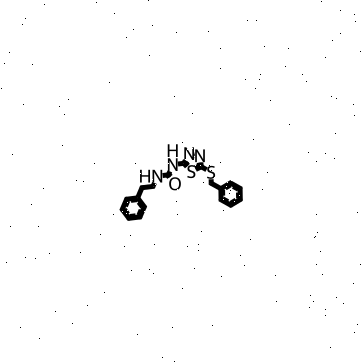 O=C(NCCc1ccccc1)Nc1nnc(SCc2ccccc2)s1